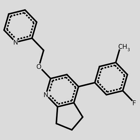 Cc1cc(F)cc(-c2cc(OCc3ccccn3)nc3c2CCC3)c1